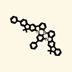 CC1(C)c2ccccc2-c2cc3c4cccc5c4n(c3cc21)-c1cc(-c2ccccc2)cc2c1B5c1cccc3c4cc5c(cc4n-2c13)C(C)(C)c1cc(-c2ccccc2)ccc1-5